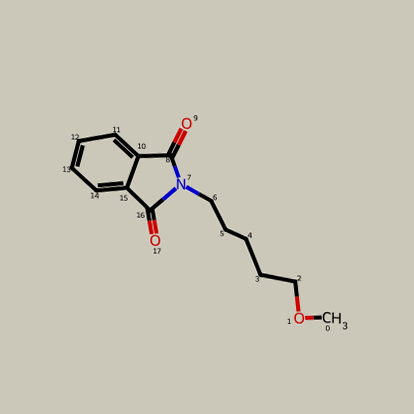 COCCCCCN1C(=O)c2ccccc2C1=O